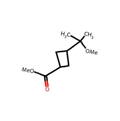 COC(=O)C1CC(C(C)(C)OC)C1